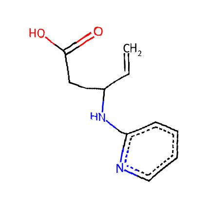 C=CC(CC(=O)O)Nc1ccccn1